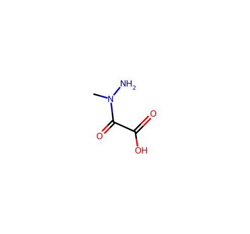 CN(N)C(=O)C(=O)O